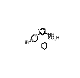 C1CCCCC1.CC(C)N1CCN(c2cc(NC(=O)O)ccn2)CC1